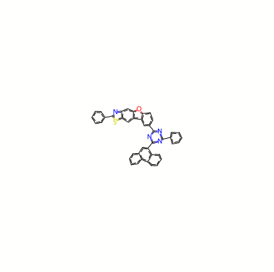 c1ccc(-c2nc(-c3ccc4oc5cc6nc(-c7ccccc7)sc6cc5c4c3)nc(-c3cc4ccccc4c4ccccc34)n2)cc1